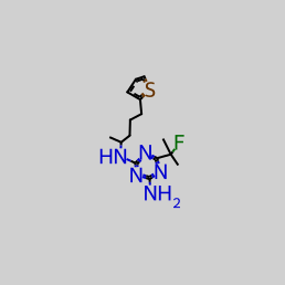 CC(CCCc1cccs1)Nc1nc(N)nc(C(C)(C)F)n1